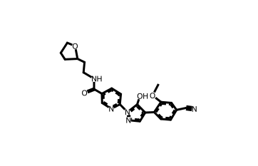 COc1cc(C#N)ccc1-c1cnn(-c2ccc(C(=O)NCCC3CCCO3)cn2)c1O